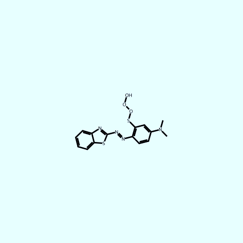 CN(C)c1ccc(/N=N/c2nc3ccccc3s2)c(SOOO)c1